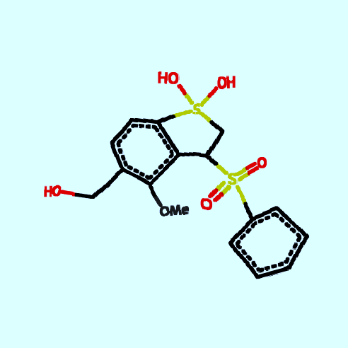 COc1c(CO)ccc2c1C(S(=O)(=O)c1ccccc1)CS2(O)O